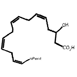 CCCCC/C=C\C/C=C\C/C=C\C/C=C\CC(O)CC(=O)O